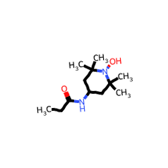 CCC(=O)NC1CC(C)(C)N(O)C(C)(C)C1